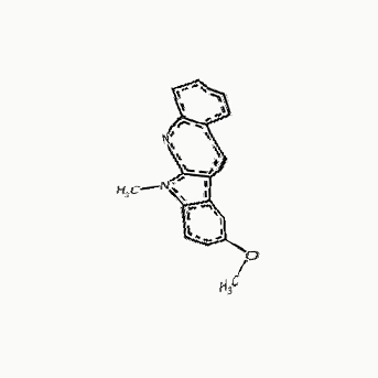 COc1ccc2c(c1)c1cc3ccccc3nc1n2C